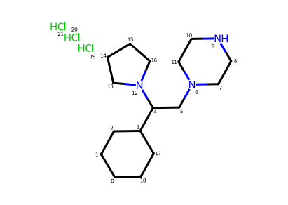 C1CCC(C(CN2CCNCC2)N2CCCC2)CC1.Cl.Cl.Cl